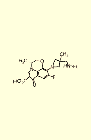 CCNCC1(C)CN(c2c(F)cc3c(=O)c(C(=O)O)cn4c3c2OC[C@H]4C)C1